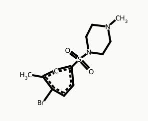 Cc1cc(S(=O)(=O)N2CCN(C)CC2)ccc1Br